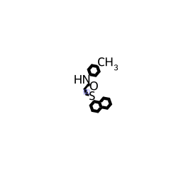 Cc1ccc(NC(=O)/C=C\Sc2cccc3ccccc23)cc1